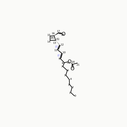 CCCCCCCCC(/C=C/C=C/[C@@H]1CC[C@H]1C=O)OC(C)=O